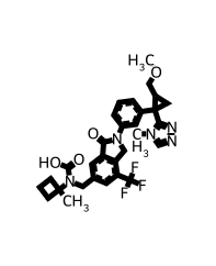 COCC1CC1(c1cccc(N2Cc3c(cc(CN(C(=O)O)C4(C)CCC4)cc3C(F)(F)F)C2=O)c1)c1nncn1C